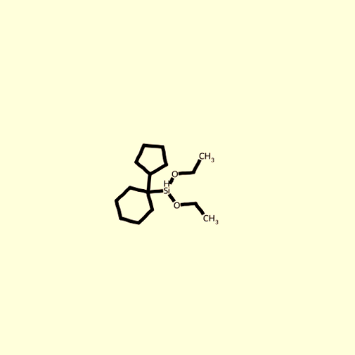 CCO[SiH](OCC)C1(C2CCCC2)CCCCC1